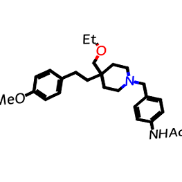 CCOCC1(CCc2ccc(OC)cc2)CCN(Cc2ccc(NC(C)=O)cc2)CC1